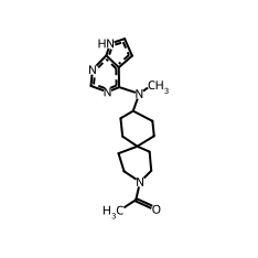 CC(=O)N1CCC2(CCC(N(C)c3ncnc4[nH]ccc34)CC2)CC1